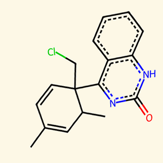 CC1=CC(C)C(CCl)(c2nc(=O)[nH]c3ccccc23)C=C1